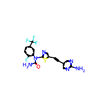 NC(=O)N(c1ncc(C#Cc2cnc(N)nc2)s1)c1cc(C(F)(F)F)ccc1F